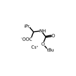 CC(C)C(NC(=O)OC(C)(C)C)C(=O)[O-].[Cs+]